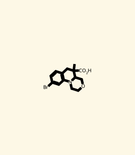 CC1(C(=O)O)Cc2ccc(Br)cc2N2CCOCC21